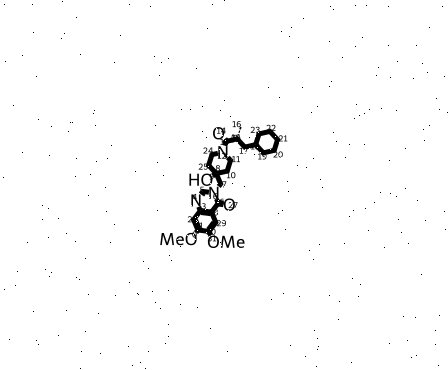 COc1cc2ncn(CC3(O)CCN(C(=O)[C@H](C)CC4CCCCC4)CC3)c(=O)c2cc1OC